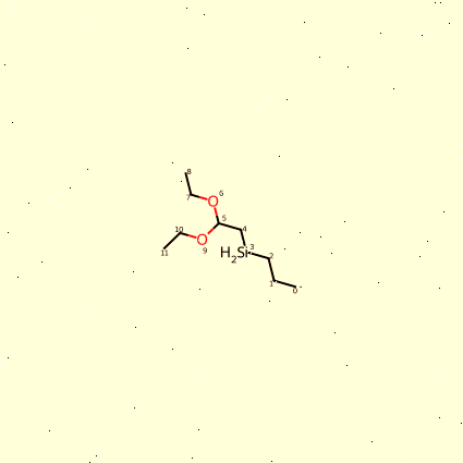 [CH2]CC[SiH2]CC(OCC)OCC